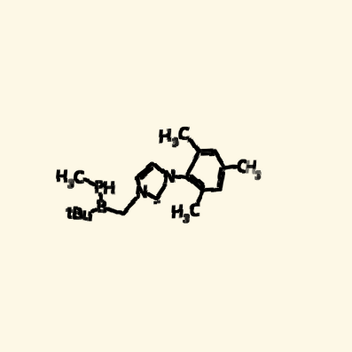 CPB(CN1[C]N(c2c(C)cc(C)cc2C)C=C1)C(C)(C)C